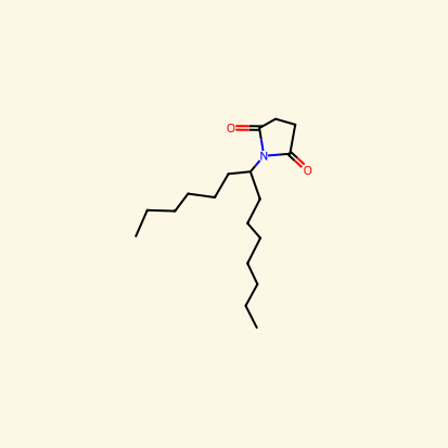 CCCCCCCC(CCCCCC)N1C(=O)CCC1=O